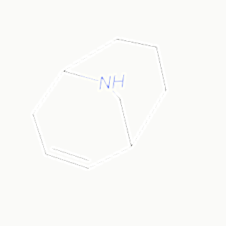 C1=CC2CCCC(C1)NC2